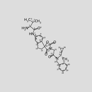 CC(C)[C@H](N)C(=O)Nc1ccc2c(c1)CCC21OC(=O)N(CC(=O)N(Cc2ccccc2)[C@@H](C)C2CC2)C1=O